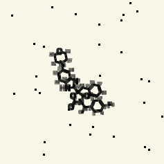 C[C@H](c1ccc(F)cc1)N1C(=O)OC(Cc2ccccc2)(c2nc3cc(N4CCOCC4)ccc3[nH]2)C1=O